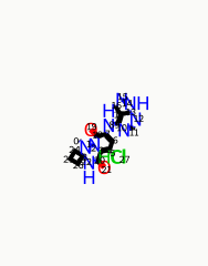 CN1n2c(c(Cl)cc(Nc3ncnc4[nH]ncc34)c2=O)C(=O)NC12CCC2.Cl